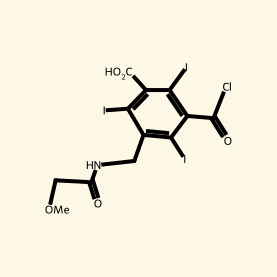 COCC(=O)NCc1c(I)c(C(=O)O)c(I)c(C(=O)Cl)c1I